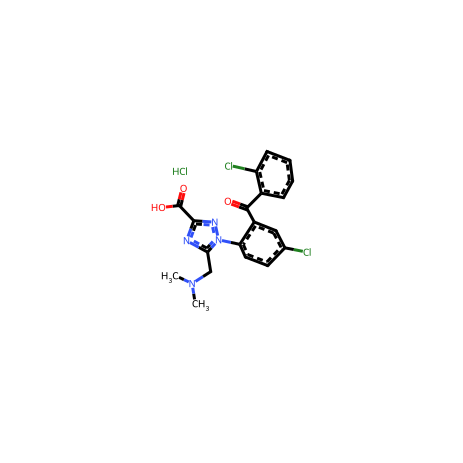 CN(C)Cc1nc(C(=O)O)nn1-c1ccc(Cl)cc1C(=O)c1ccccc1Cl.Cl